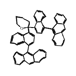 c1ccc2c(-c3ccc(C4(c5ccc(-c6c7ccccc7cc7ccccc67)c6ccccc56)CCCCO4)c4ccccc34)c3ccccc3cc2c1